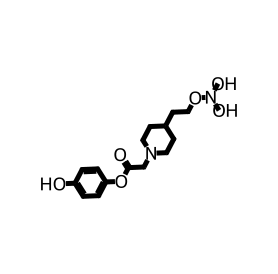 O=C(CN1CCC(CCON(O)O)CC1)Oc1ccc(O)cc1